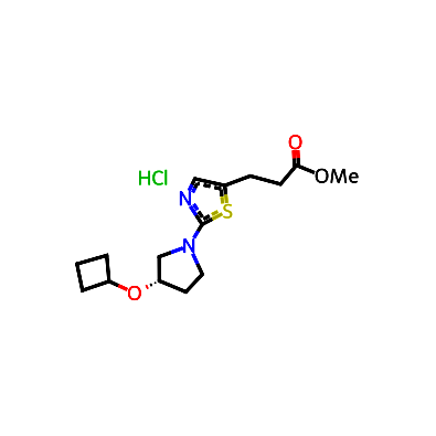 COC(=O)CCc1cnc(N2CC[C@H](OC3CCC3)C2)s1.Cl